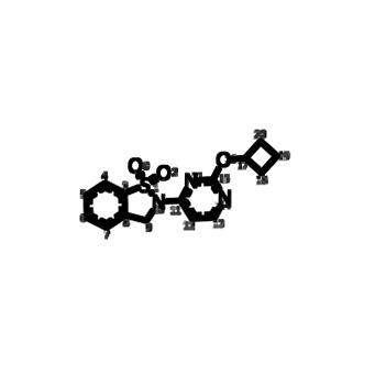 O=S1(=O)c2ccccc2CN1c1ccnc(OC2CCC2)n1